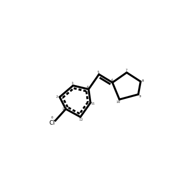 Clc1ccc(C=C2CCCC2)cc1